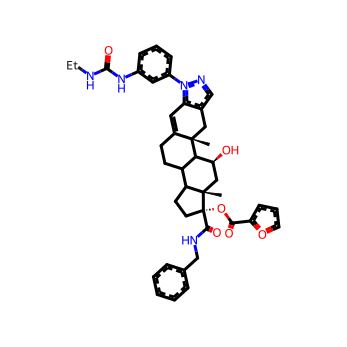 CCNC(=O)Nc1cccc(-n2ncc3c2C=C2CCC4C([C@@H](O)C[C@@]5(C)C4CC[C@]5(OC(=O)c4ccco4)C(=O)NCc4ccccc4)[C@@]2(C)C3)c1